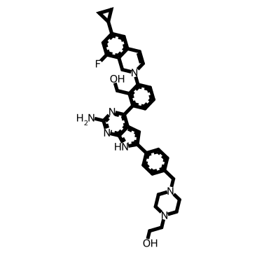 Nc1nc(-c2cccc(N3C=Cc4cc(C5CC5)cc(F)c4C3)c2CO)c2cc(-c3ccc(CN4CCN(CCO)CC4)cc3)[nH]c2n1